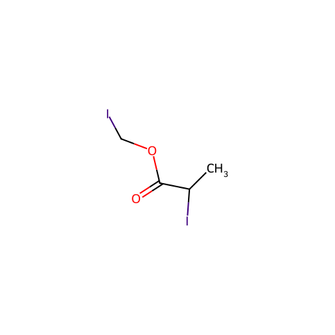 CC(I)C(=O)OCI